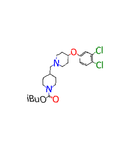 CC(C)COC(=O)N1CCC(CN2CCC(Oc3ccc(Cl)c(Cl)c3)CC2)CC1